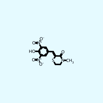 CN1CCSC(=Cc2cc([N+](=O)[O-])c(O)c([N+](=O)[O-])c2)C1=O